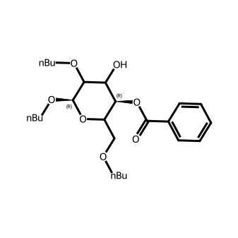 CCCCOCC1O[C@@H](OCCCC)C(OCCCC)C(O)[C@H]1OC(=O)c1ccccc1